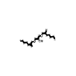 CCCCCC(C)COCC(O)COCC(C)CCCCC